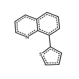 [c]1ccc(-c2cccc3cccnc23)s1